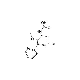 COc1c(NC(=O)O)cc(F)cc1-c1ncccn1